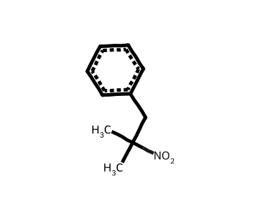 CC(C)(Cc1ccccc1)[N+](=O)[O-]